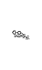 CCCCCn1nc(C(=O)CCC)nc1Cc1ccc(-c2ncccc2C(=O)O)cc1